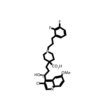 COc1ccc2ncc(Cl)c([C@@H](O)CCC3(C(=O)O)CCN(CCCc4cccc(F)c4F)CC3)c2c1